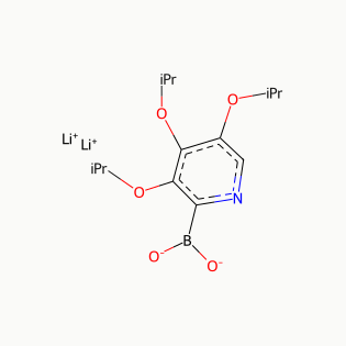 CC(C)Oc1cnc(B([O-])[O-])c(OC(C)C)c1OC(C)C.[Li+].[Li+]